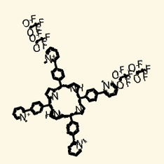 C[n+]1ccccc1-c1ccc(-c2c3nc(c(-c4ccc(-c5cccc[n+]5C)cc4)c4ccc([nH]4)c(-c4ccc(-c5cccc[n+]5C)cc4)c4nc(c(-c5ccc(-c6cccc[n+]6C)cc5)c5ccc2[nH]5)C=C4)C=C3)cc1.O=C([O-])C(F)(F)F.O=C([O-])C(F)(F)F.O=C([O-])C(F)(F)F.O=C([O-])C(F)(F)F